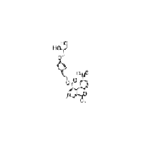 COC(=O)C1=CN(C)C=C(C(=O)OCCc2ccc(OCC(O)CO)cc2)C1c1cccc([N+](=O)[O-])c1